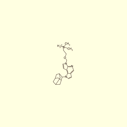 C[Si](C)(C)CCOCn1ccc2c1ncc1ccn(C3C4CC5CC(C4)CC3C5)c12